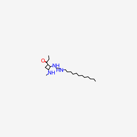 CCCCCCCCCCCCNCCNC1C(NC)CC1C(=O)CC